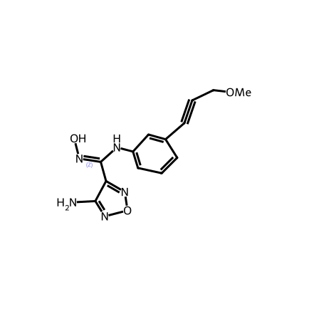 COCC#Cc1cccc(N/C(=N\O)c2nonc2N)c1